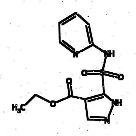 CCOC(=O)c1cn[nH]c1S(=O)(=O)Nc1ccccn1